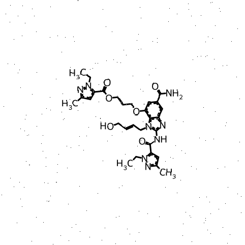 CCn1nc(C)cc1C(=O)Nc1nc2cc(C(N)=O)cc(OCCCOC(=O)c3cc(C)nn3CC)c2n1C/C=C/CO